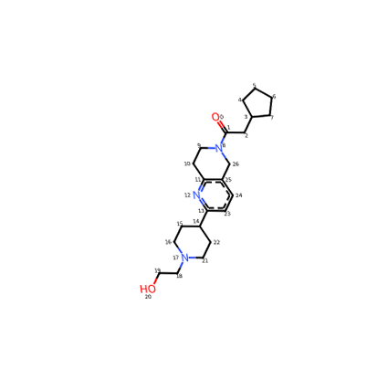 O=C(CC1CCCC1)N1CCc2nc(C3CCN(CCO)CC3)ccc2C1